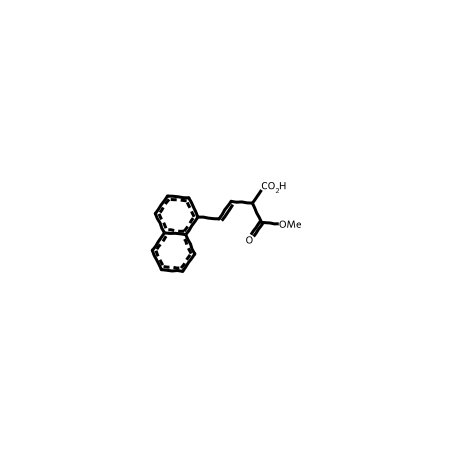 COC(=O)C(/C=C/c1cccc2ccccc12)C(=O)O